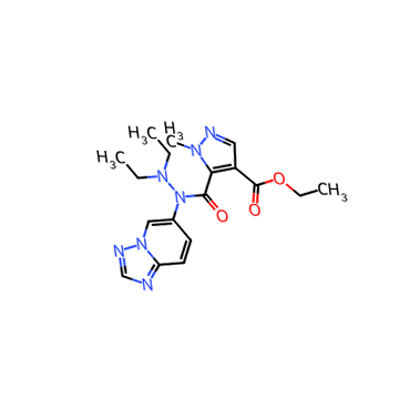 CCOC(=O)c1cnn(C)c1C(=O)N(c1ccc2ncnn2c1)N(CC)CC